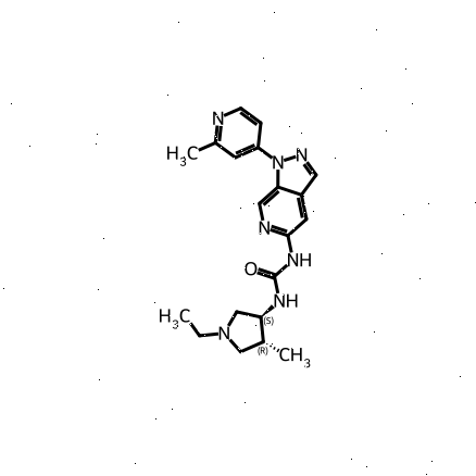 CCN1C[C@@H](C)[C@H](NC(=O)Nc2cc3cnn(-c4ccnc(C)c4)c3cn2)C1